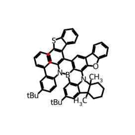 CC(C)(C)c1ccc(N2B3c4cc(C(C)(C)C)cc5c4N(c4c3c(cc3c4oc4ccccc43)-c3c2ccc2sc4ccccc4c32)C2(C)CCCCC52C)c(-c2ccccc2)c1